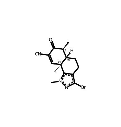 [C-]#[N+]C1=C[C@]2(C)c3c(c(Br)nn3C)CC[C@H]2[C@H](C)C1=O